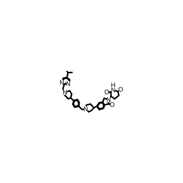 CC(C)c1cnc(CN2CCC(c3ccc(CN4CCC(c5ccc6c(c5)CN(C5CCC(=O)NC5=O)C6=O)CC4)cc3)CC2)nc1